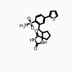 NS(=O)(=O)c1ccc(-c2cccs2)cc1CC1CCCC12NC(=O)NC2=O